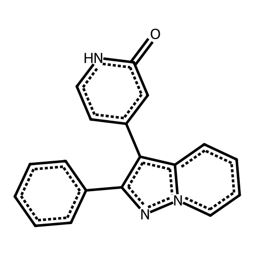 O=c1cc(-c2c(-c3ccccc3)nn3ccccc23)cc[nH]1